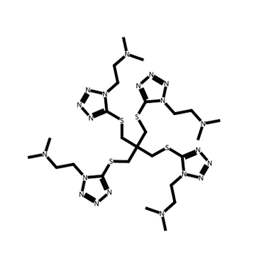 CN(C)CCn1nnnc1SCC(CSc1nnnn1CCN(C)C)(CSc1nnnn1CCN(C)C)CSc1nnnn1CCN(C)C